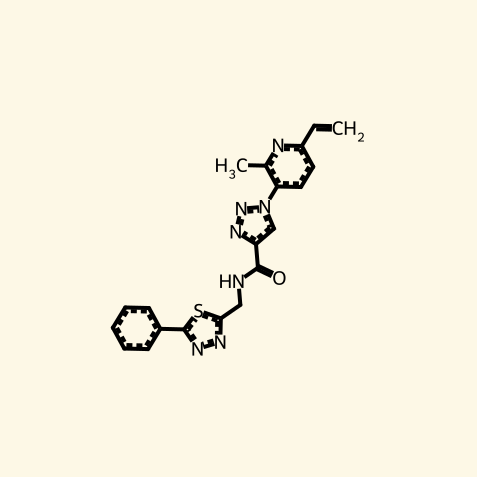 C=Cc1ccc(-n2cc(C(=O)NCc3nnc(-c4ccccc4)s3)nn2)c(C)n1